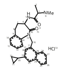 CNC(C)C(=O)NC1CCc2ccccc2N(Cc2cc(C3CC3)cc3ccccc23)C1=O.Cl